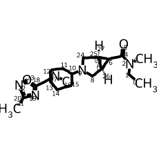 CCN(C)C(=O)C1[C@H]2CN(C3CC4CCC3CN4c3nc(C)no3)C[C@@H]12